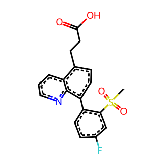 CS(=O)(=O)c1cc(F)ccc1-c1ccc(CCC(=O)O)c2cccnc12